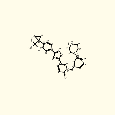 O=c1ccc(-c2nc(-c3ccc(C4(C(F)(F)F)CC4)cc3)no2)cn1Cc1ccnc(N2CCNCC2)c1